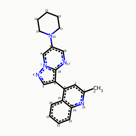 Cc1cc(-c2cnn3cc(N4CCCCC4)cnc23)c2ccccc2n1